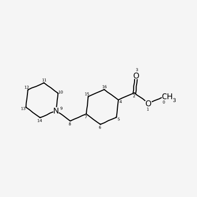 COC(=O)C1CCC(CN2CCCCC2)CC1